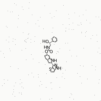 O=C(NCC(O)c1ccccc1)Oc1ccc2cc(-c3n[nH]c4ccsc34)[nH]c2c1